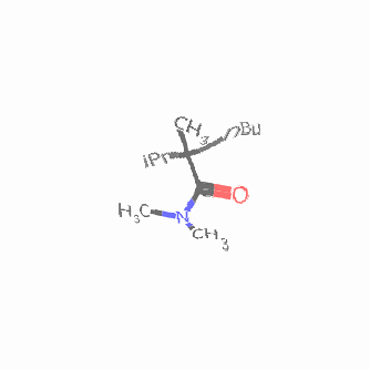 CCCCC(C)(C(=O)N(C)C)C(C)C